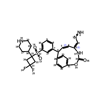 N=N/C=C1\C=C/C(c2cccc(S(=O)(=O)C3(C4CCNCC4)CC(F)(F)C3)c2)c2ccc(cc2)OC(=O)N1